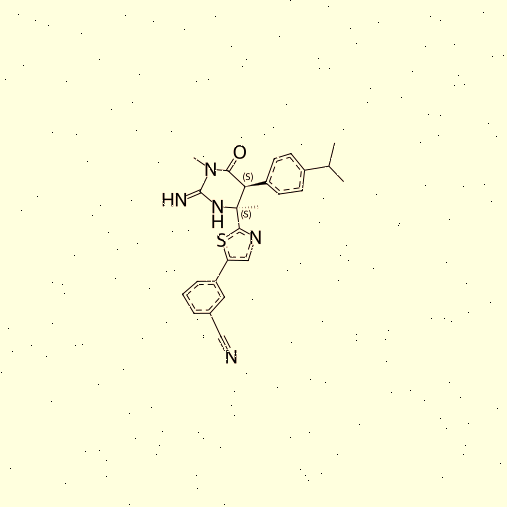 CC(C)c1ccc([C@@H]2C(=O)N(C)C(=N)N[C@]2(C)c2ncc(-c3cccc(C#N)c3)s2)cc1